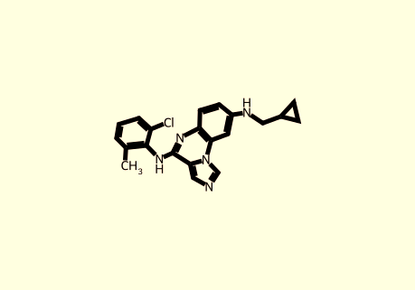 Cc1cccc(Cl)c1Nc1nc2ccc(NCC3CC3)cc2n2cncc12